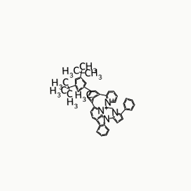 Cc1c2cc(-c3cc(C(C)(C)C)cc(C(C)(C)C)c3)cc1-c1ccc3c4ccccc4n4c3[n+]1C(Cn1c(-c3ccccc3)ccc1-4)[n+]1ccccc1-2